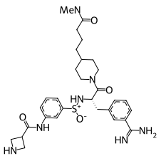 CNC(=O)CCCC1CCN(C(=O)[C@H](Cc2cccc(C(=N)N)c2)N[S+]([O-])c2cccc(NC(=O)C3CNC3)c2)CC1